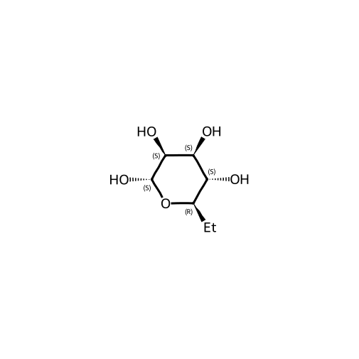 CC[C@H]1O[C@H](O)[C@@H](O)[C@@H](O)[C@@H]1O